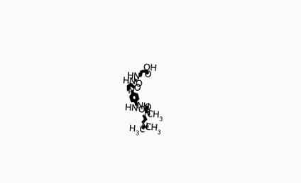 CN(C)CCCN(C)C(=O)ONC(=N)c1ccc(N2CC[C@H](NC(=O)NCCC(=O)O)C2=O)cc1